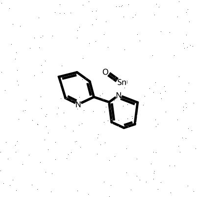 [O]=[Sn].c1ccc(-c2ccccn2)nc1